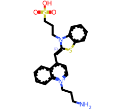 NCCC[n+]1ccc(/C=C2\Sc3ccccc3N2CCCS(=O)(=O)O)c2ccccc21